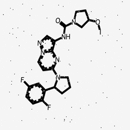 O=C(Nc1cnn2ccc(N3CCCC3c3cc(F)ccc3F)nc12)N1CCC(OI)C1